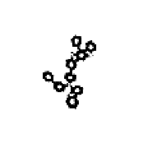 c1ccc(-c2cccc(N(c3ccc(-c4ccc5oc6c(-c7ccccc7)c7c(cc6c5c4)oc4ccccc47)cc3)c3cccc4c3sc3ccccc34)c2)cc1